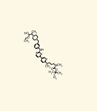 CCOC(O)C(C)N1CCN(Cc2cccc(Nc3nccc(-c4ccc(N(C)CCCN(C)C(=O)OC(C)(C)C)nc4)n3)c2)CC1